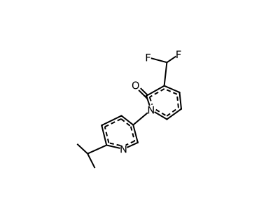 CC(C)c1ccc(-n2cccc(C(F)F)c2=O)cn1